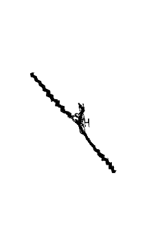 CCCCCCCCC=CCCCCCCCCOCC(COCCCCCCCCC=CCCCCCCCC)NC(=S)OCCN(C)C